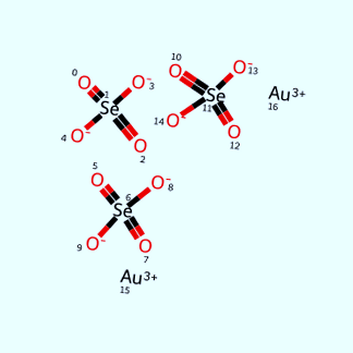 O=[Se](=O)([O-])[O-].O=[Se](=O)([O-])[O-].O=[Se](=O)([O-])[O-].[Au+3].[Au+3]